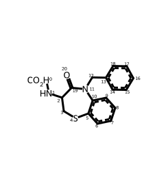 O=C(O)NC1CSc2ccccc2N(Cc2ccccc2)C1=O